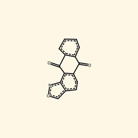 O=C1c2ccccc2C(=O)c2c1ccc1conc21